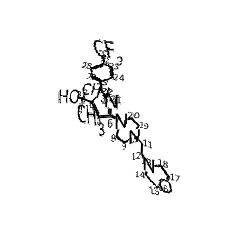 CC(C)(O)c1cc(N2CCN(CCN3CCOCC3)CC2)nn1-c1ccc(C(F)(F)F)cc1